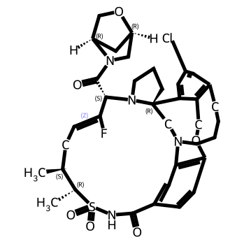 C[C@@H]1[C@@H](C)C/C=C(\F)[C@H](C(=O)N2C[C@H]3C[C@@H]2CO3)N2CCC[C@@]23CN2CCCCc4cc(Cl)cc3c4COc3ccc(cc32)C(=O)NS1(=O)=O